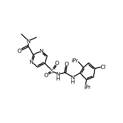 CC(C)c1cc(Cl)cc(C(C)C)c1NC(=O)NS(=O)(=O)c1cnc(C(=O)N(C)C)nc1